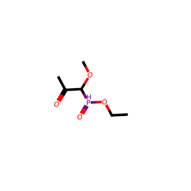 CCO[PH](=O)C(OC)C(C)=O